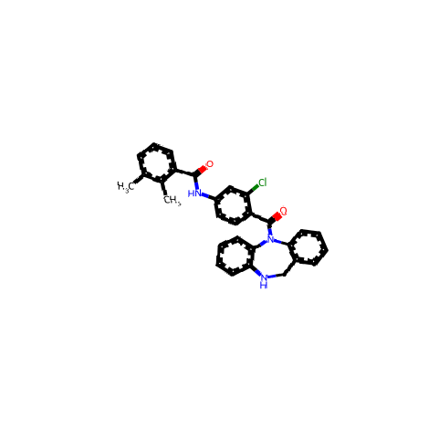 Cc1cccc(C(=O)Nc2ccc(C(=O)N3c4ccccc4CNc4ccccc43)c(Cl)c2)c1C